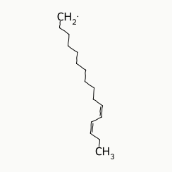 [CH2]CCCCCCCCC/C=C\C=C/CC